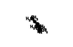 Cc1c(-c2[nH]c3ccc(C4CN(CCN(C)C)C4)nc3c2C(C)C)cn2ncnc2c1C